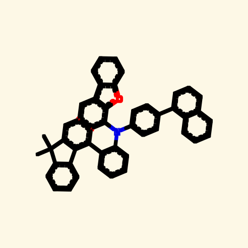 CC1(C)c2ccccc2-c2c(-c3ccccc3N(c3ccc(-c4cccc5ccccc45)cc3)c3cccc4c3oc3ccccc34)cccc21